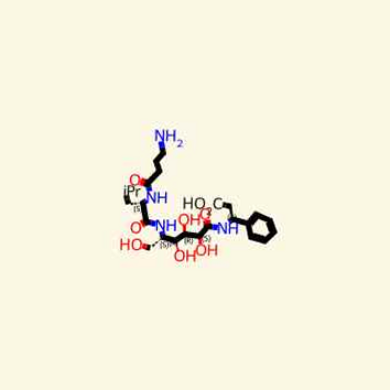 CC(C)C[C@H](NC(=O)CCCN)C(=O)N[C@@H](CO)[C@@H](O)[C@@H](O)[C@H](O)C(=O)N[C@@H](CC(=O)O)c1ccccc1